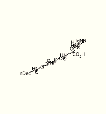 CCCCCCCCCCCCCC(=O)NCCOCCOCC(=O)NCCOCCOCC(=O)NCCCC[C@H](CC(=O)C(C)(C)NC(=O)[C@@H](N)Cc1cnc[nH]1)C(=O)O